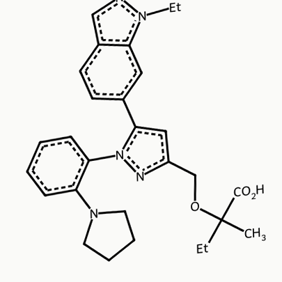 CCn1ncc2ccc(-c3cc(COC(C)(CC)C(=O)O)nn3-c3ccccc3N3CCCC3)cc21